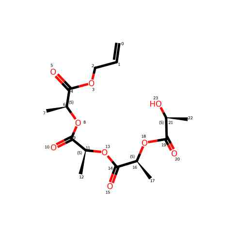 C=CCOC(=O)[C@H](C)OC(=O)[C@H](C)OC(=O)[C@H](C)OC(=O)[C@H](C)O